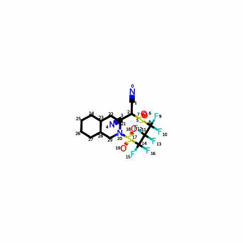 N#CC(C#N)S(=O)(=O)C(F)(F)C(F)(F)C(F)(F)S(=O)(=O)N1CCC2CCCCC2C1